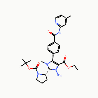 CCOC(=O)C1=C(c2ccc(C(=O)Nc3cc(C)ccn3)cc2)N(C)C([C@@H]2CCCN2C(=O)OC(C)(C)C)N1N